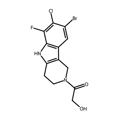 O=C(CO)N1CCc2[nH]c3c(F)c(Cl)c(Br)cc3c2C1